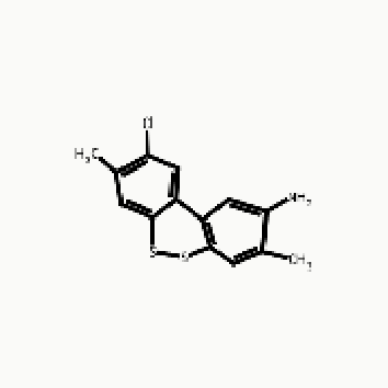 Cc1cc2c(cc1N)-c1cc(Cl)c(C)cc1SS2